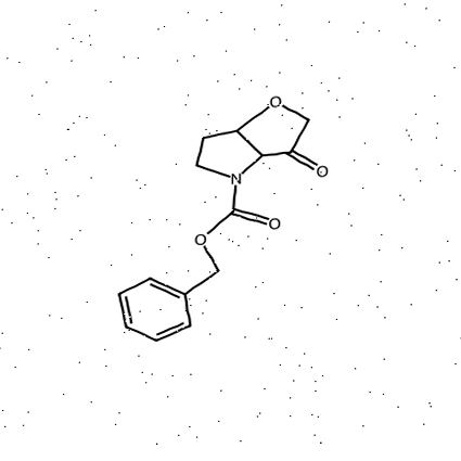 O=C1COC2CCN(C(=O)OCc3ccccc3)C12